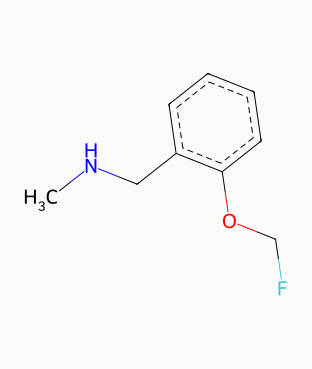 CNCc1ccccc1OCF